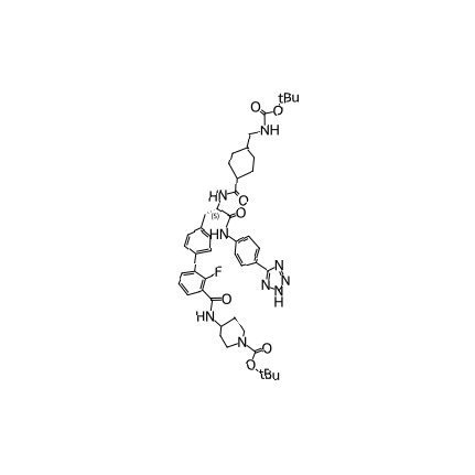 CC(C)(C)OC(=O)NCC1CCC(C(=O)N[C@@H](Cc2ccc(-c3cccc(C(=O)NC4CCN(C(=O)OC(C)(C)C)CC4)c3F)cc2)C(=O)Nc2ccc(-c3nn[nH]n3)cc2)CC1